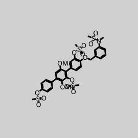 COc1cc(-c2ccc(OS(C)(=O)=O)cc2)c(OC)c(OS(C)(=O)=O)c1-c1ccc(OCc2cccc(N(C)S(C)(=O)=O)c2)c(OS(C)(=O)=O)c1